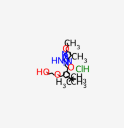 CCOc1cc(C)c2nn(CC(=O)c3cc(COCCCO)cc(C(C)(C)C)c3)c(=N)n2n1.Cl